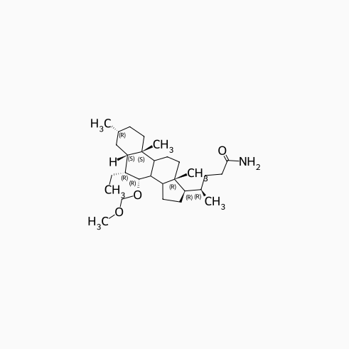 CC[C@H]1[C@@H](OCOC)C2C3CC[C@H]([C@H](C)CCC(N)=O)[C@@]3(C)CCC2[C@@]2(C)CC[C@@H](C)C[C@@H]12